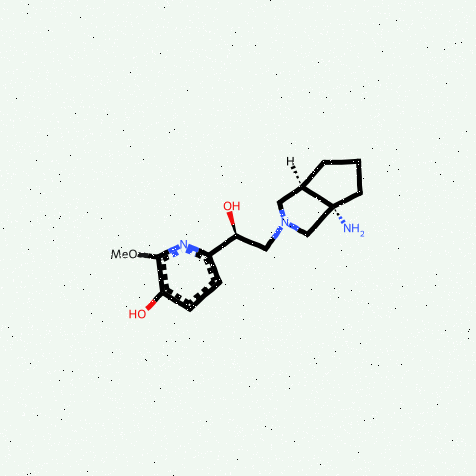 COc1nc([C@@H](O)CN2C[C@H]3CCC[C@@]3(N)C2)ccc1O